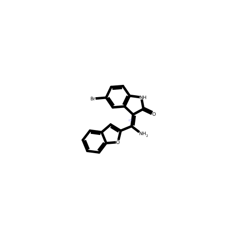 N/C(=C1\C(=O)Nc2ccc(Br)cc21)c1cc2ccccc2o1